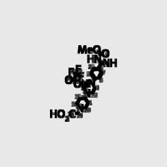 COC(=O)NC(=N)c1ccc(N2CCN(C3CCN(CC(=O)O)CC3)CC2)cc1.O=C(O)C(F)(F)F